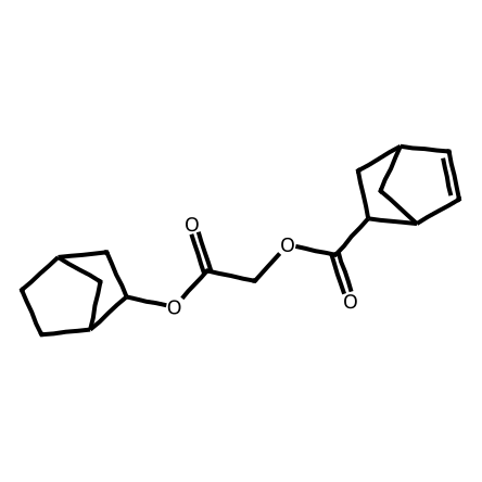 O=C(COC(=O)C1CC2C=CC1C2)OC1CC2CCC1C2